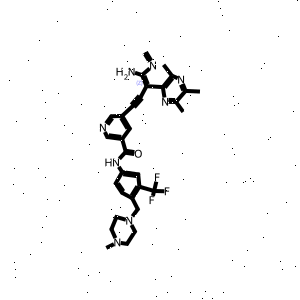 C=N/C(N)=C(/C#Cc1cncc(C(=O)Nc2ccc(CN3CCN(C)CC3)c(C(F)(F)F)c2)c1)c1nc(C)c(C)nc1C